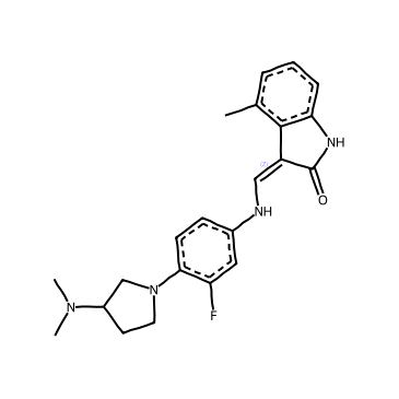 Cc1cccc2c1/C(=C/Nc1ccc(N3CCC(N(C)C)C3)c(F)c1)C(=O)N2